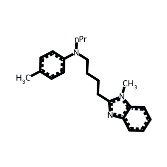 CCCN(CCCCc1nc2ccccc2n1C)c1ccc(C)cc1